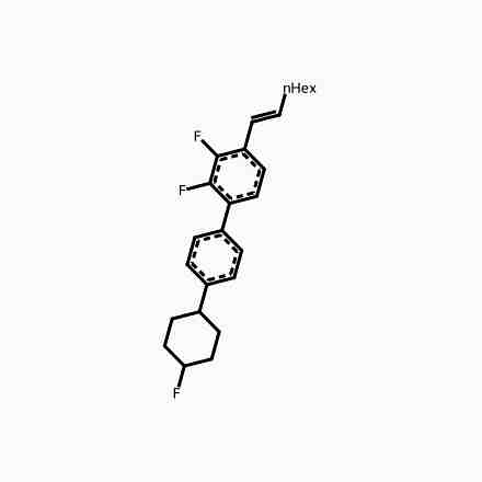 CCCCCCC=Cc1ccc(-c2ccc(C3CCC(F)CC3)cc2)c(F)c1F